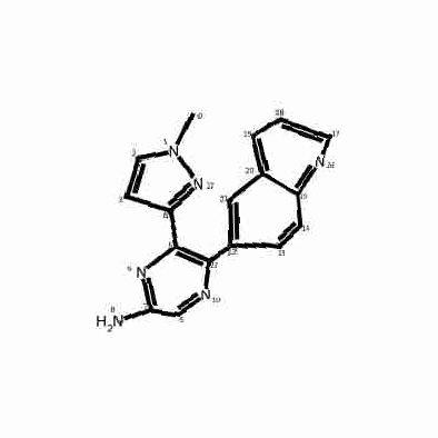 Cn1ccc(-c2nc(N)cnc2-c2ccc3ncccc3c2)n1